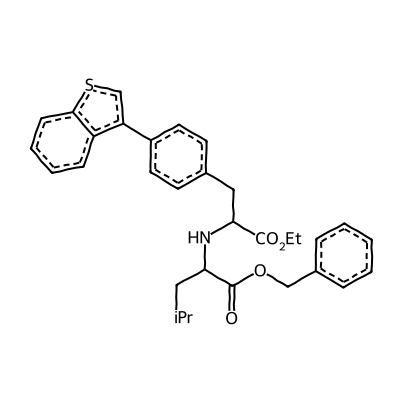 CCOC(=O)C(Cc1ccc(-c2csc3ccccc23)cc1)NC(CC(C)C)C(=O)OCc1ccccc1